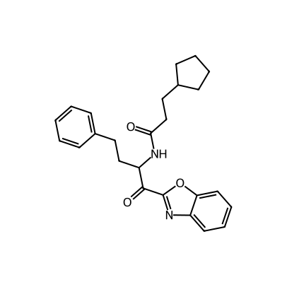 O=C(CCC1CCCC1)NC(CCc1ccccc1)C(=O)c1nc2ccccc2o1